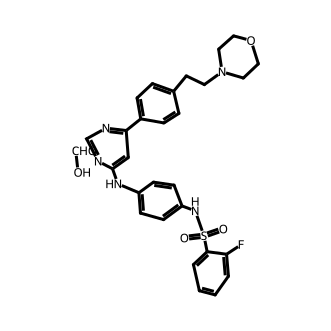 O=CO.O=S(=O)(Nc1ccc(Nc2cc(-c3ccc(CCN4CCOCC4)cc3)ncn2)cc1)c1ccccc1F